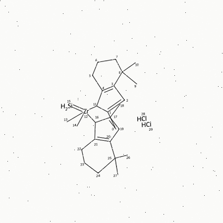 CC1=CC2=C(CCCC2(C)C)[CH]1[Zr]([CH3])([CH3])(=[SiH2])[CH]1C(C)=CC2=C1CCCC2(C)C.Cl.Cl